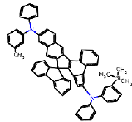 Cc1cccc(N(c2ccccc2)c2ccc3cc4c(cc3c2)C2(c3ccccc3-c3ccccc32)c2c-4c3ccccc3c3cc(N(c4ccccc4)c4cccc([Si](C)(C)C)c4)ccc23)c1